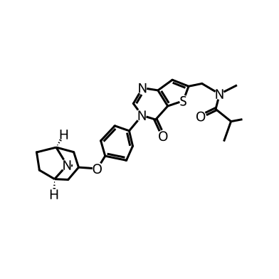 CC(C)C(=O)N(C)Cc1cc2ncn(-c3ccc(OC4C[C@H]5CC[C@@H](C4)N5C)cc3)c(=O)c2s1